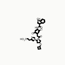 Cn1cc(C(=O)Nc2cc(Cl)c(CC(=O)N3C[C@@H](OC4CCC4)CC3N3C=C(CCC(=O)O)SC3)cc2Cl)c2ccccc21